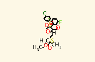 CCOC(=O)C(C)(C)SCC[C@@H]1OCC[C@@]2(S(=O)(=O)c3ccc(Cl)cc3)c3c(F)ccc(F)c3OC[C@@H]12